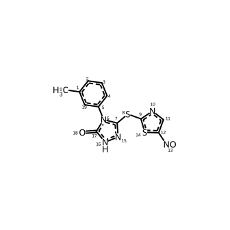 Cc1cccc(-n2c(Sc3ncc(N=O)s3)n[nH]c2=O)c1